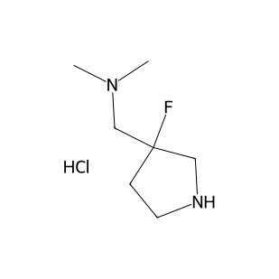 CN(C)CC1(F)CCNC1.Cl